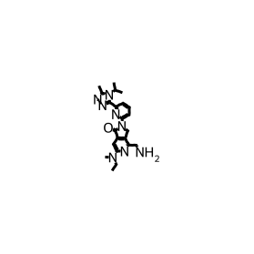 CCN(C)c1cc2c(c(CN)n1)CN(c1cccc(-c3nnc(C)n3C(C)C)n1)C2=O